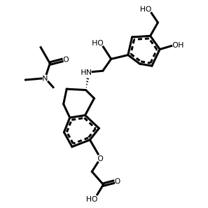 CC(=O)N(C)C.O=C(O)COc1ccc2c(c1)C[C@@H](NCC(O)c1ccc(O)c(CO)c1)CC2